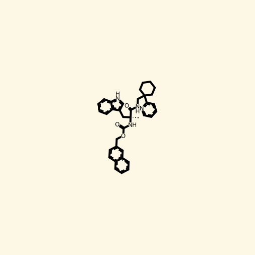 C[C@@](Cc1c[nH]c2ccccc12)(NC(=O)OCc1ccc2ccccc2c1)C(=O)NCC1(c2ccccn2)CCCCC1